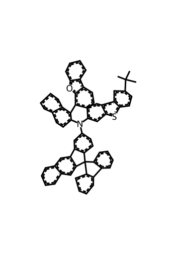 CC(C)(C)c1ccc2sc3cc(N(c4ccc5c(c4)-c4cc6ccccc6cc4C54c5ccccc5-c5ccccc54)c4ccc5ccccc5c4-c4cccc5c4oc4ccccc45)ccc3c2c1